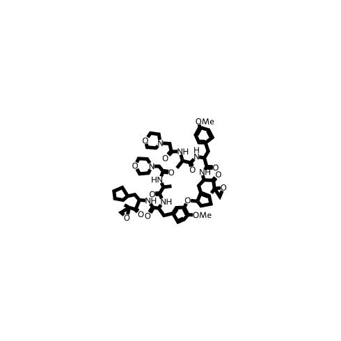 COc1ccc(CC(NC(=O)C(C)NC(=O)CN2CCOCC2)C(=O)NC(CC2=CCCC2Oc2cc(CC(NC(=O)C(C)NC(=O)CN3CCOCC3)C(=O)NC(CC3CCCC3)C(=O)C3(C)CO3)ccc2OC)C(=O)C2(C)CO2)cc1